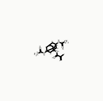 C=C(C)C(=O)OC12CC3CC(OC(=O)C(F)(F)F)(C1)CC(OC(=O)C(F)(F)F)(C3)C2